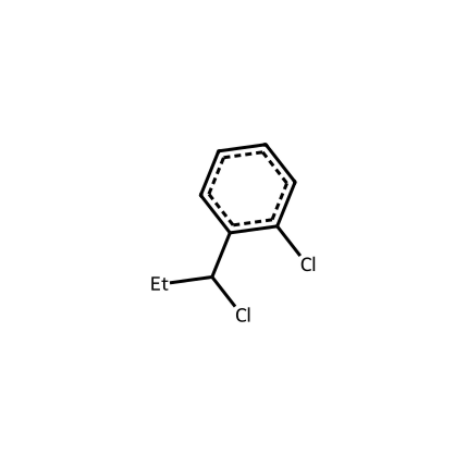 [CH2]CC(Cl)c1ccccc1Cl